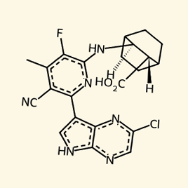 Cc1c(F)c(N[C@H]2C3CCC(CC3)[C@@H]2C(=O)O)nc(-c2c[nH]c3ncc(Cl)nc23)c1C#N